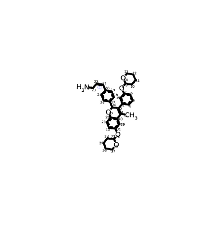 CC1=C(c2cccc(OC3CCCCO3)c2)C(c2ccc(/C=C\CN)cc2)Oc2ccc(OC3CCCCO3)cc21